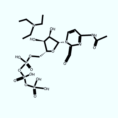 CC(=O)NC1=NC(=C=O)N([C@@H]2O[C@H](COP(=O)(O)OP(=O)(O)OP(=O)(O)O)[C@@H](O)[C@H]2O)C=C1.CCN(CC)CC